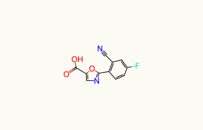 N#Cc1cc(F)ccc1-c1ncc(C(=O)O)o1